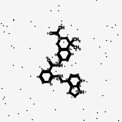 CC1(C)CN(C(=O)O)Cc2cc(NC(=O)c3cccnc3NCc3ccnc4c3CCN4)ccc21